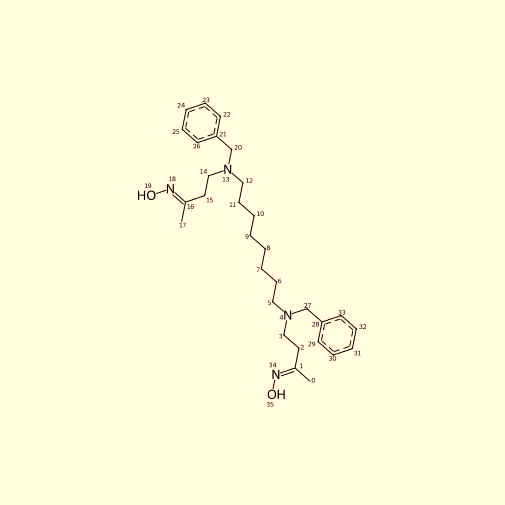 CC(CCN(CCCCCCCCN(CCC(C)=NO)Cc1ccccc1)Cc1ccccc1)=NO